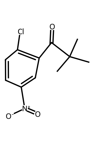 CC(C)(C)C(=O)c1cc([N+](=O)[O-])ccc1Cl